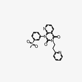 CS(=O)(=O)c1cccc(-n2c(=O)n(CCc3ccccn3)c(=O)c3cccnc32)c1